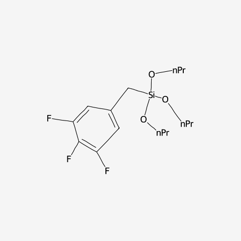 CCCO[Si](Cc1cc(F)c(F)c(F)c1)(OCCC)OCCC